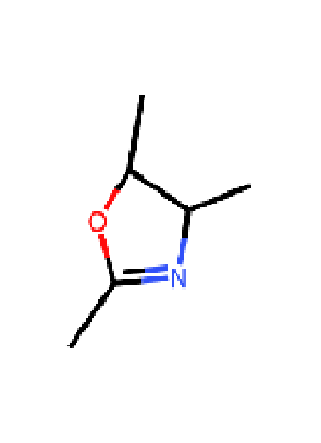 CC1=NC(C)C(C)O1